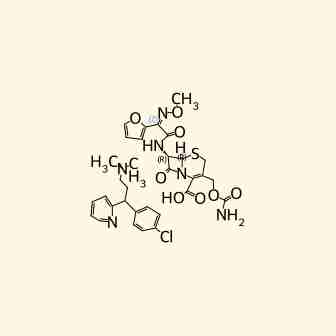 CN(C)CCC(c1ccc(Cl)cc1)c1ccccn1.CO/N=C(\C(=O)N[C@@H]1C(=O)N2C(C(=O)O)=C(COC(N)=O)CS[C@H]12)c1ccco1